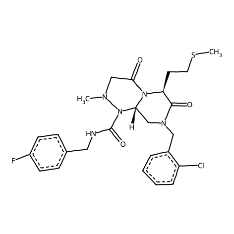 CSCC[C@H]1C(=O)N(Cc2ccccc2Cl)C[C@H]2N1C(=O)CN(C)N2C(=O)NCc1ccc(F)cc1